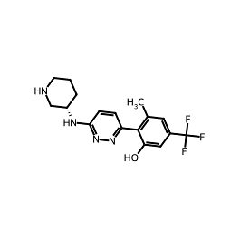 Cc1cc(C(F)(F)F)cc(O)c1-c1ccc(N[C@H]2CCCNC2)nn1